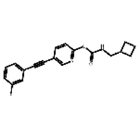 O=C(NCC1CCC1)Oc1ccc(C#Cc2cccc(F)c2)cn1